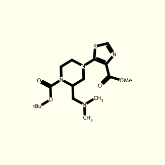 COC(=O)c1ncsc1N1CCN(C(=O)OC(C)(C)C)C(CN(C)C)C1